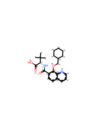 CC(C)(C)[C@H](NC(=O)c1ccc2cccnc2c1OCC1CCCCC1)C(=O)O